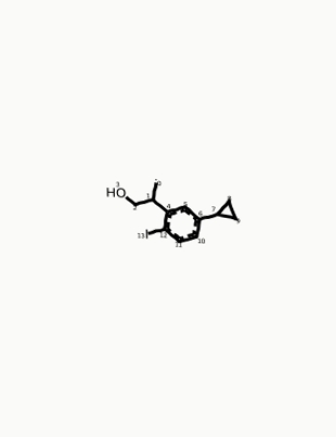 [CH2]C(CO)c1cc(C2CC2)ccc1I